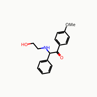 COc1ccc(C(=O)C(NCCO)c2ccccc2)cc1